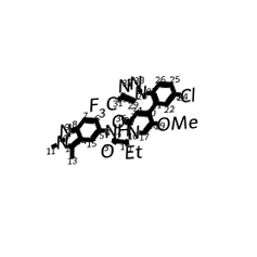 CCC(C(=O)Nc1ccc2nn(C)c(C)c2c1)n1cc(OC)c(-c2cc(Cl)ccc2-n2cc(C(F)(F)F)nn2)cc1=O